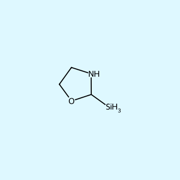 [SiH3]C1NCCO1